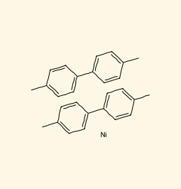 Cc1ccc(-c2ccc(C)cc2)cc1.Cc1ccc(-c2ccc(C)cc2)cc1.[Ni]